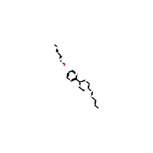 CC=CC=CCOc1ccc(C2CCC(CCCCC)CC2)cc1